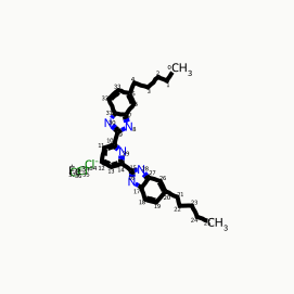 CCCCCC1=CC2=NC(c3cccc(C4=NC5C=CC(CCCCC)=CC5=N4)n3)=NC2C=C1.[Cl-].[Cl-].[Cl-].[Fe+3]